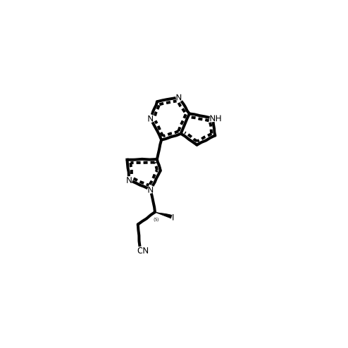 N#CC[C@H](I)n1cc(-c2ncnc3[nH]ccc23)cn1